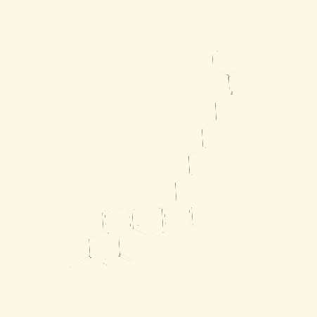 CC(C)(C)OC(=O)NCCCCCCCc1cccc(Oc2cccc3c2C(=O)NC(=O)C3)c1